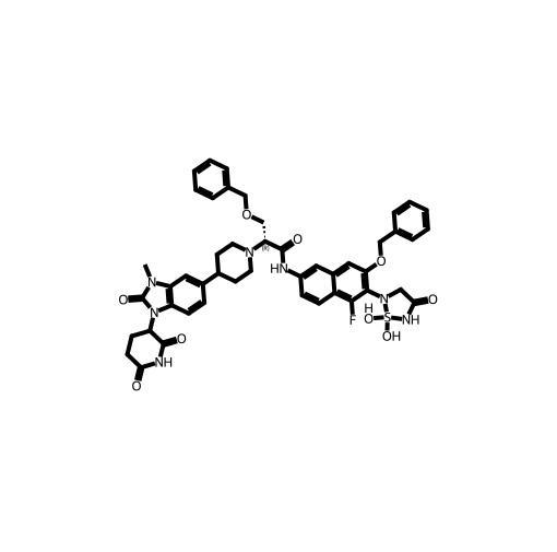 Cn1c(=O)n(C2CCC(=O)NC2=O)c2ccc(C3CCN([C@H](COCc4ccccc4)C(=O)Nc4ccc5c(F)c(N6CC(=O)NS6(O)O)c(OCc6ccccc6)cc5c4)CC3)cc21